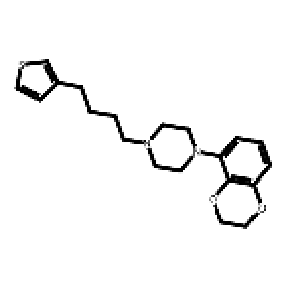 c1cc2c(c(N3CCN(CCCCc4ccsc4)CC3)c1)OCCO2